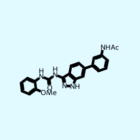 COc1ccccc1NC(=O)Nc1n[nH]c2cc(-c3cccc(NC(C)=O)c3)ccc12